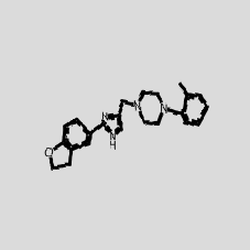 Cc1ccccc1N1CCN(Cc2c[nH]c(-c3ccc4c(c3)CCO4)n2)CC1